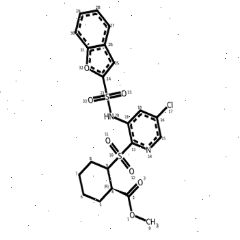 COC(=O)[C@H]1CCCCC1S(=O)(=O)c1ncc(Cl)cc1NS(=O)(=O)c1cc2ccccc2o1